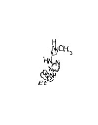 CCC1(CC(=O)O)CCN(c2ccnc(NC3=CNN(C)C3)n2)C1=O